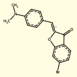 CN(C)c1ccc(/C=C2\Oc3cc(Br)ccc3C2=O)cc1